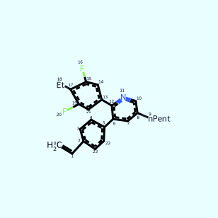 C=Cc1ccc(-c2cc(CCCCC)cnc2-c2cc(F)c(CC)c(F)c2)cc1